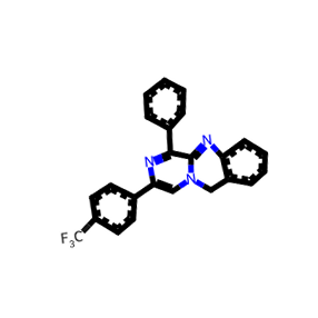 FC(F)(F)c1ccc(C2=CN3Cc4ccccc4N=C3C(c3ccccc3)=N2)cc1